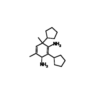 CC1=CC(C)(C2CCCC2)C(N)=C(C2CCCC2)C1N